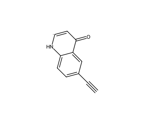 C#Cc1ccc2[nH][c]cc(=O)c2c1